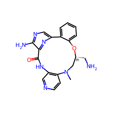 CN1C[C@@H](CN)Oc2ccccc2-c2cnc(N)c(n2)C(=O)Nc2cnccc21